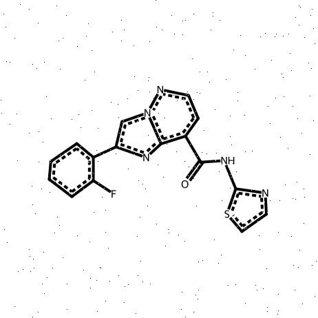 O=C(Nc1nccs1)c1ccnn2cc(-c3ccccc3F)nc12